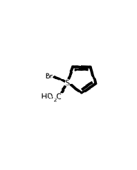 O=C(O)S1(Br)C=CC=C1